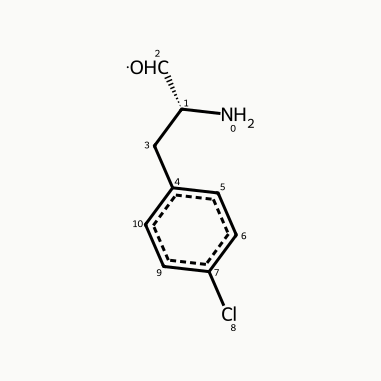 N[C@@H]([C]=O)Cc1ccc(Cl)cc1